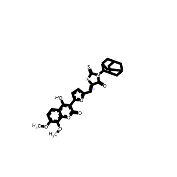 COc1ccc2c(O)c(-c3ccc(/C=C4\SC(=S)N(C5C6CC7CC(C6)CC5C7)C4=O)o3)c(=O)oc2c1OC